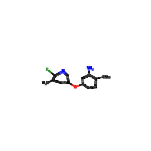 COc1ccc(Oc2cnc(F)c(C)c2)cc1N